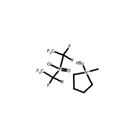 CCCC[N+]1(C)CCCC1.O=P([O-])(C(F)(F)C(F)(F)F)C(F)(F)C(F)(F)F